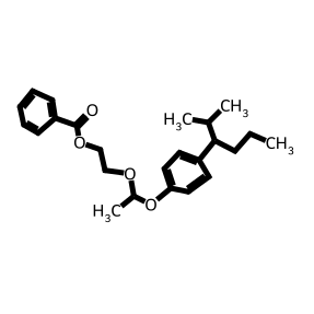 CCCC(c1ccc(OC(C)OCCOC(=O)c2ccccc2)cc1)C(C)C